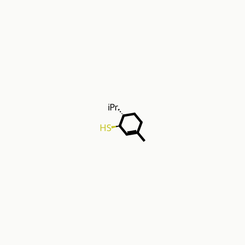 CC1=C[C@@H](S)[C@H](C(C)C)CC1